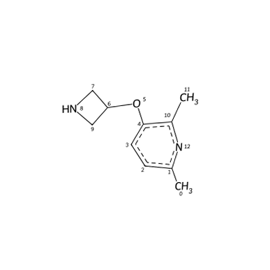 Cc1ccc(OC2CNC2)c(C)n1